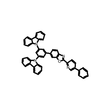 c1ccc(-c2ccc(-c3nc4ccc(-c5cc(-n6c7ccccc7c7ccccc76)cc(-n6c7ccccc7c7ccccc76)c5)cc4o3)nc2)cc1